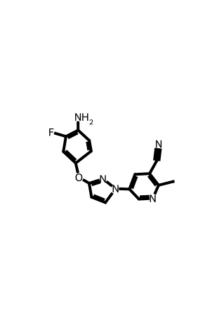 Cc1ncc(-n2ccc(Oc3ccc(N)c(F)c3)n2)cc1C#N